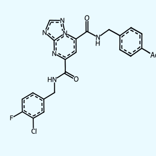 CC(=O)c1ccc(CNC(=O)c2cc(C(=O)NCc3ccc(F)c(Cl)c3)nc3ncnn23)cc1